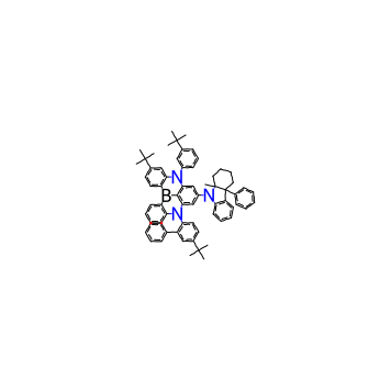 CC(C)(C)c1cccc(N2c3cc(C(C)(C)C)ccc3B3c4ccccc4N(c4ccc(C(C)(C)C)cc4-c4ccccc4)c4cc(N5c6ccccc6C6(c7ccccc7)CCCCC56C)cc2c43)c1